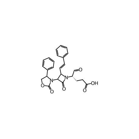 O=C[C@H](CCC(=O)O)N1C(=O)C(N2C(=O)OCC2c2ccccc2)C1/C=C/c1ccccc1